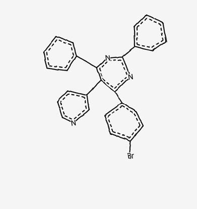 Brc1ccc(-c2nc(-c3ccccc3)nc(-c3ccccc3)c2-c2cccnc2)cc1